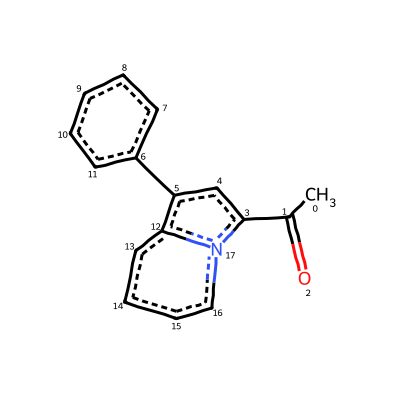 CC(=O)c1cc(-c2ccccc2)c2ccccn12